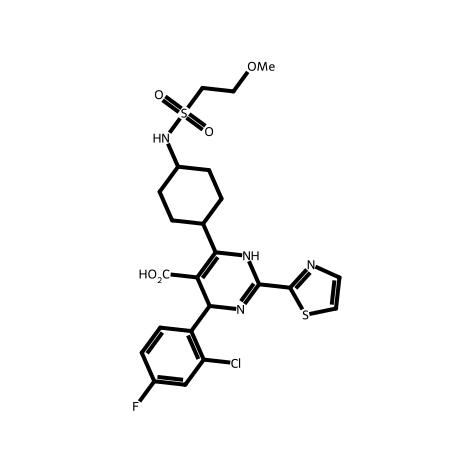 COCCS(=O)(=O)NC1CCC(C2=C(C(=O)O)C(c3ccc(F)cc3Cl)N=C(c3nccs3)N2)CC1